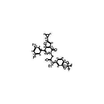 CCN(C(=O)Cn1nc(-c2cc(F)cc(F)c2)c2oc(C3CC3)cc2c1=O)c1ccc2c(c1)OC(F)(F)O2